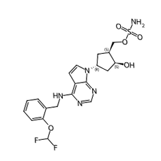 NS(=O)(=O)OC[C@@H]1C[C@@H](n2ccc3c(NCc4ccccc4OC(F)F)ncnc32)C[C@@H]1O